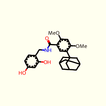 COc1cc(OC)c(C23CC4CC(CC(C4)C2)C3)cc1C(=O)NCc1ccc(O)cc1O